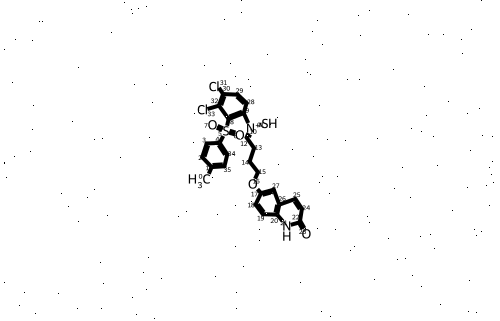 Cc1ccc(S(=O)(=O)c2c([N+](S)=CCCCOc3ccc4[nH]c(=O)ccc4c3)ccc(Cl)c2Cl)cc1